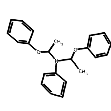 CC(Oc1ccccc1)N(c1ccccc1)C(C)Oc1ccccc1